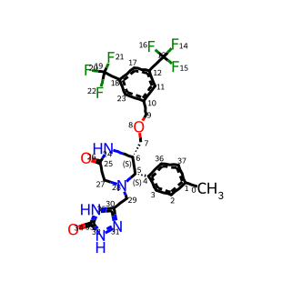 Cc1ccc([C@H]2[C@@H](COCc3cc(C(F)(F)F)cc(C(F)(F)F)c3)NC(=O)CN2Cc2n[nH]c(=O)[nH]2)cc1